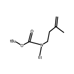 C=C(C)CCN(CC)C(=O)OC(C)(C)C